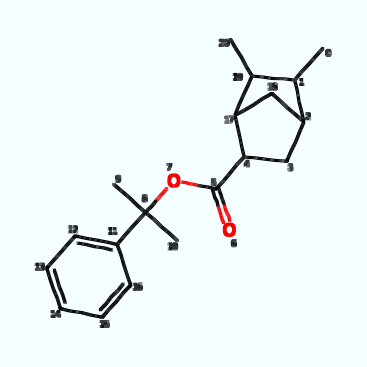 CC1C2CC(C(=O)OC(C)(C)c3ccccc3)C(C2)C1C